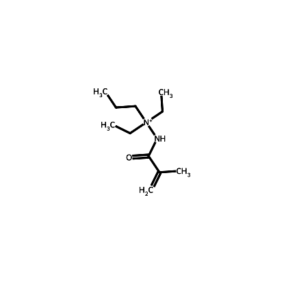 C=C(C)C(=O)N[N+](CC)(CC)CCC